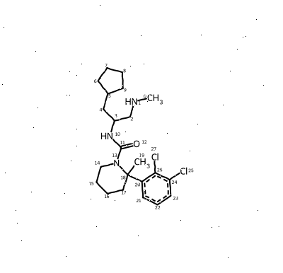 CNCC(CC1CCCC1)NC(=O)N1CCCCC1(C)c1cccc(Cl)c1Cl